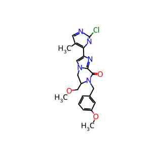 COCC1Cn2cc(-c3nc(Cl)ncc3C)nc2C(=O)N1Cc1cccc(OC)c1